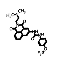 CN(C)CCN1C(=O)c2cccc3cc(NC(=O)Nc4ccc(OC(F)(F)F)cc4)cc(c23)C1=O